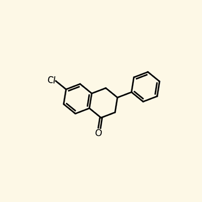 O=C1CC(c2ccccc2)Cc2cc(Cl)ccc21